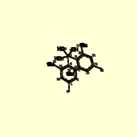 Cc1ccc(P(O)(O)(O)c2c(C(C)(C)C)cc(C)cc2C(C)(C)C)c(C(C)(C)C)c1